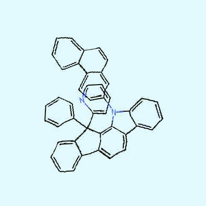 c1ccc(C2(c3ccccn3)c3ccccc3-c3ccc4c5ccccc5n(-c5ccc6c(ccc7ccccc76)c5)c4c32)cc1